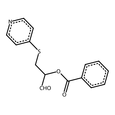 O=CC(CSc1ccncc1)OC(=O)c1ccccc1